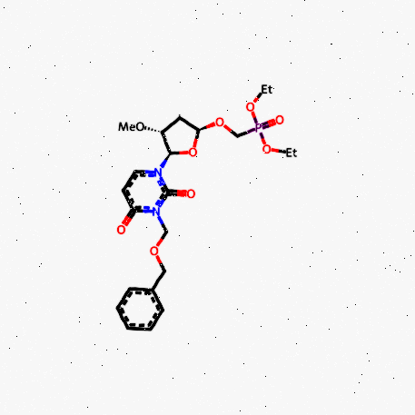 CCOP(=O)(CO[C@@H]1[CH][C@@H](OC)[C@H](n2ccc(=O)n(COCc3ccccc3)c2=O)O1)OCC